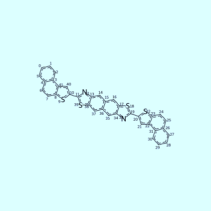 c1ccc2c(c1)ccc1sc(-c3nc4cc5cc6sc(-c7cc8c(ccc9ccccc98)s7)nc6cc5cc4s3)cc12